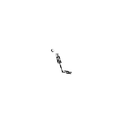 C=CC#N.[C]